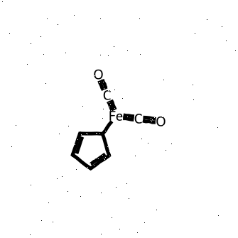 O=[C]=[Fe](=[C]=O)[CH]1C=CC=C1